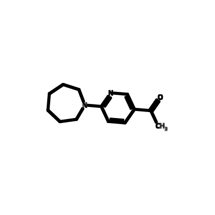 CC(=O)c1ccc(N2CCCCCC2)nc1